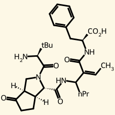 CC=C(C(=O)N[C@@H](Cc1ccccc1)C(=O)O)C(CCC)NC(=O)[C@@H]1[C@H]2CCC(=O)[C@H]2CN1C(=O)[C@@H](N)C(C)(C)C